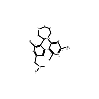 CC(=O)N(C)Cc1ccc(C2COCCCN2c2cc(C)nc(N)n2)c(Cl)c1